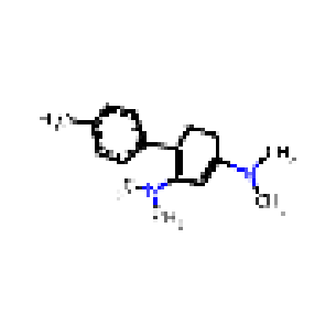 Cc1ccc(C2=C(N(C)C)C=C(N(C)C)C[CH]2)cc1